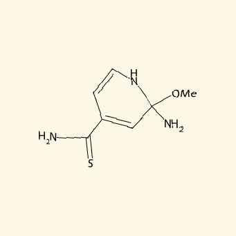 COC1(N)C=C(C(N)=S)C=CN1